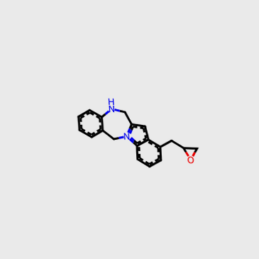 c1ccc2c(c1)Cn1c(cc3c(CC4CO4)cccc31)CN2